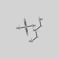 O=S(=O)(O)O.OCPCO